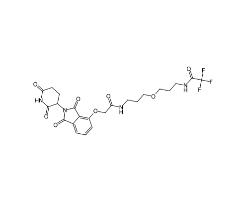 O=C(COc1cccc2c1C(=O)N(C1CCC(=O)NC1=O)C2=O)NCCCOCCCNC(=O)C(F)(F)F